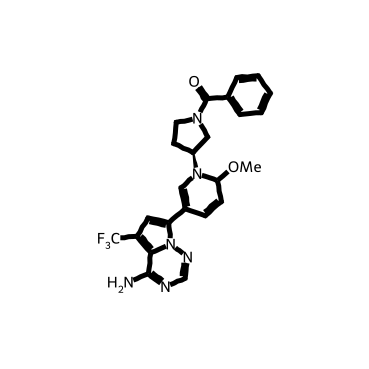 COC1C=CC(c2cc(C(F)(F)F)c3c(N)ncnn23)=CN1[C@H]1CCN(C(=O)c2ccccc2)C1